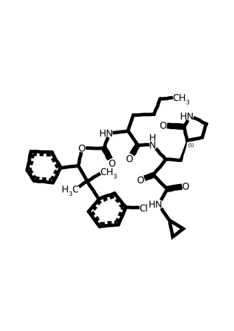 CCCCC(NC(=O)OC(c1ccccc1)C(C)(C)c1cccc(Cl)c1)C(=O)NC(C[C@@H]1CCNC1=O)C(=O)C(=O)NC1CC1